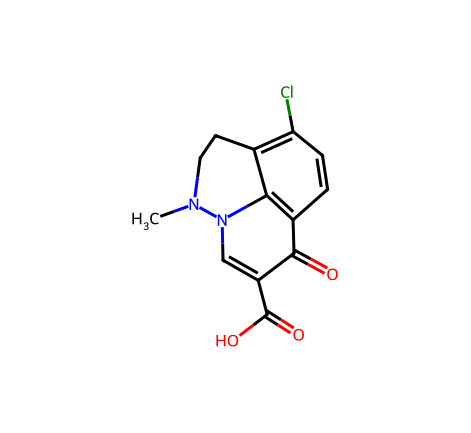 CN1CCc2c(Cl)ccc3c(=O)c(C(=O)O)cn1c23